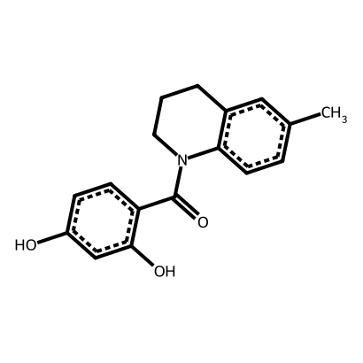 Cc1ccc2c(c1)CCCN2C(=O)c1ccc(O)cc1O